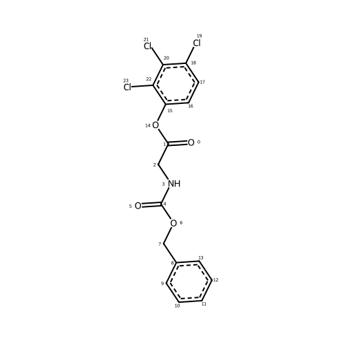 O=C(CNC(=O)OCc1ccccc1)Oc1ccc(Cl)c(Cl)c1Cl